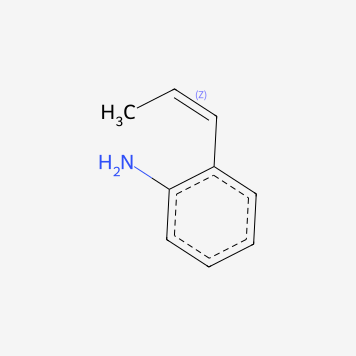 C/C=C\c1ccccc1N